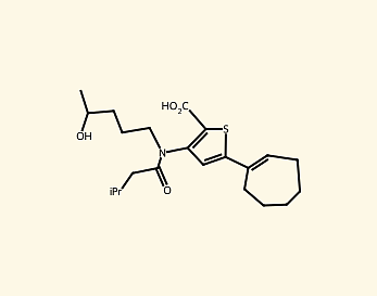 CC(C)CC(=O)N(CCCC(C)O)c1cc(C2=CCCCCC2)sc1C(=O)O